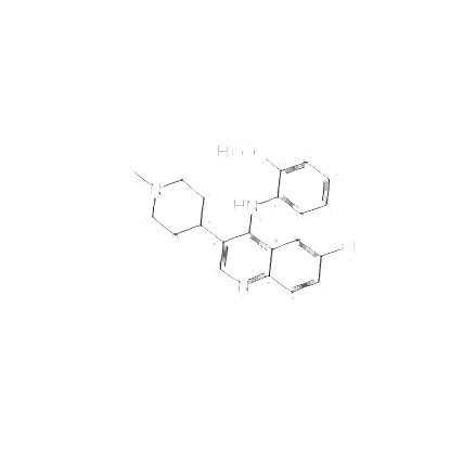 CN1CCC(c2cnc3ccc(Cl)cc3c2Nc2ccccc2C(=O)O)CC1